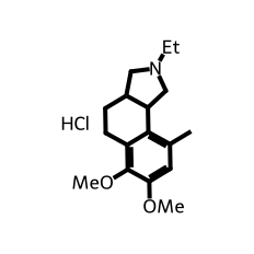 CCN1CC2CCc3c(OC)c(OC)cc(C)c3C2C1.Cl